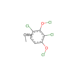 COC.ClOc1ccc(Cl)c(OCl)c1Cl